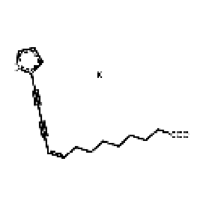 O=C([O-])CCCCCCC/C=C\C#CC#Cc1ccco1.[K+]